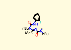 CCCCN(C)C(=O)N=C(SC)N(CCCC)C(=O)Nc1ccccc1F